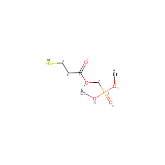 CCOP(=O)(COC(=O)CCS)OCC